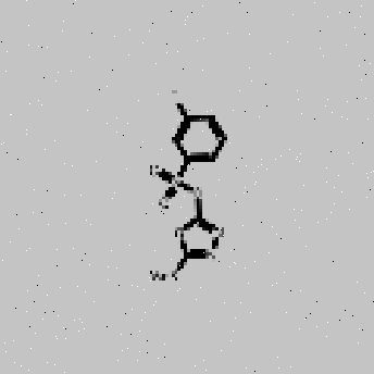 CSc1nnc(OS(=O)(=O)c2cccc(F)c2)o1